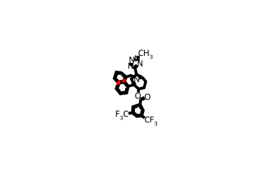 Cn1nnc(C2CC3(c4ccccc4)C(OC(=O)c4cc(C(F)(F)F)cc(C(F)(F)F)c4)CCC2N3Cc2ccccc2)n1